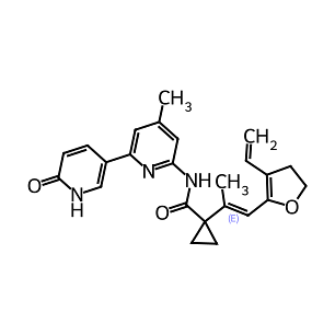 C=CC1=C(/C=C(\C)C2(C(=O)Nc3cc(C)cc(-c4ccc(=O)[nH]c4)n3)CC2)OCC1